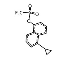 O=S(=O)(Oc1cccc2c(C3CC3)cccc12)C(F)(F)F